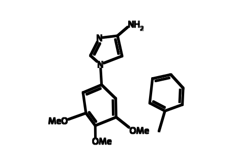 COc1cc(-n2cnc(N)c2)cc(OC)c1OC.Cc1ccccc1